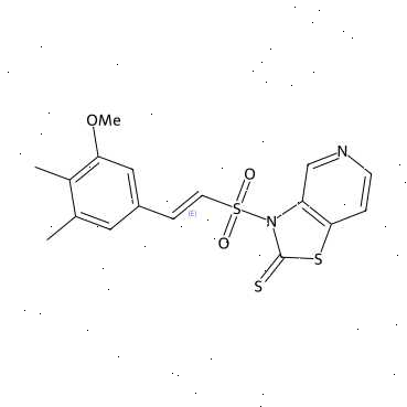 COc1cc(/C=C/S(=O)(=O)n2c(=S)sc3ccncc32)cc(C)c1C